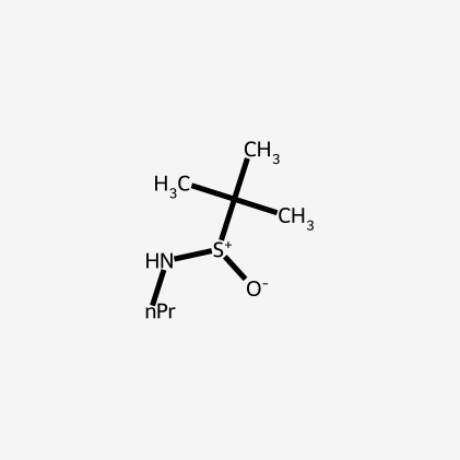 CCCN[S+]([O-])C(C)(C)C